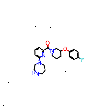 O=C(c1cccc(N2CCCNCC2)n1)N1CCCC(Oc2ccc(F)cc2)C1